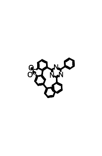 O=S1(=O)c2ccc(-c3ccccc3)cc2-c2c(-c3nc(-c4ccccc4)nc(-c4ccccc4)n3)cccc21